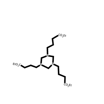 CCOC(=O)CCCN1CN(CCCC(=O)OCC)CN(CCCC(=O)OCC)C1